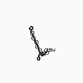 C[C@@H]1CN(Cc2ccccc2)[C@@H](COCCOCCOCCOCCOCc2ccccc2)CN1C(=O)OC(C)(C)C